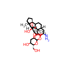 C[C@]12CC(OC3O[C@H](CO)[C@@H](O)C[C@H]3O)[C@@]3(N)C[C@H]1CCC1[C@@H]2CC[C@]2(C)C4CC[C@]12O[C@H](O)[C@H]4CC(=O)O3